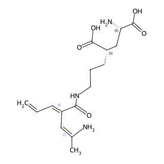 C=C/C=C(\C=C(\C)N)C(=O)NCCC[C@@H](C[C@H](N)C(=O)O)C(=O)O